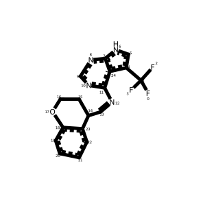 FC(F)(F)c1c[nH]c2ncnc(/N=C\C3CCOc4ccccc43)c12